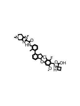 COc1cc(OC2CCc3c(-c4cccc(NC(=O)c5nc6c(n5C)CCN(C)C6)c4C)cccc32)c(Cl)c(F)c1CNC1(C(=O)O)CCC1